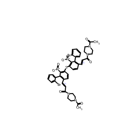 CC(=O)N1CCN(C(=O)/C=C/c2ccc(Sc3ccc(/C=C/C(=O)N4CCN(C(C)=O)CC4)c(-c4ccccc4Br)c3[N+](=O)[O-])c([N+](=O)[O-])c2-c2ccccc2Br)CC1